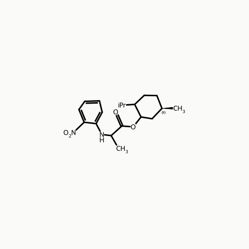 CC(Nc1ccccc1[N+](=O)[O-])C(=O)OC1C[C@H](C)CCC1C(C)C